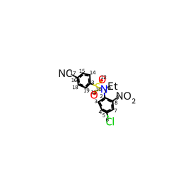 CCN(c1ccc(Cl)cc1[N+](=O)[O-])S(=O)(=O)c1ccc(C#N)cc1